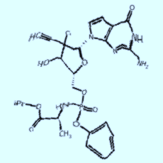 C#CC1(Cl)C(O)[C@@H](COP(=O)(N[C@@H](C)C(=O)OC(C)C)Oc2ccccc2)O[C@H]1n1ccc2c(=O)[nH]c(N)nc21